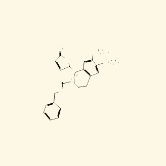 COc1cc2c(cc1OC)[C@H](C1C=CC(=O)O1)N(C(=O)OCc1ccccc1)CC2